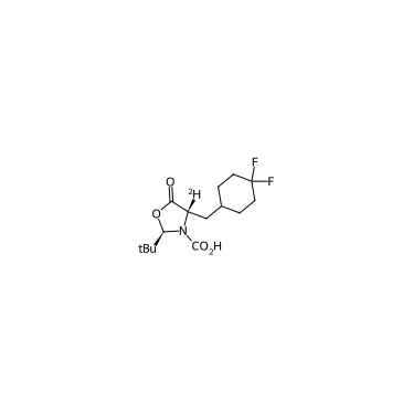 [2H][C@]1(CC2CCC(F)(F)CC2)C(=O)O[C@H](C(C)(C)C)N1C(=O)O